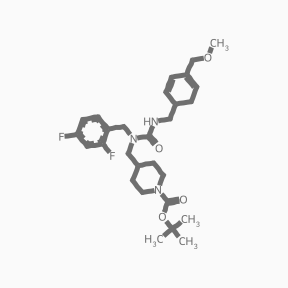 COCC1=CCC(CNC(=O)N(Cc2ccc(F)cc2F)CC2CCN(C(=O)OC(C)(C)C)CC2)C=C1